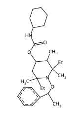 CCC1(C)CC(OC(=O)NC2CCCCC2)C(C)C(C)(CC)N1OC(C)c1ccccc1